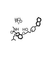 CNC(=O)c1cc2c(OC[C@@H](O)CN3CCC(c4ccc5ccccc5c4)CC3)cccc2n1CC(C)C.Cl.O